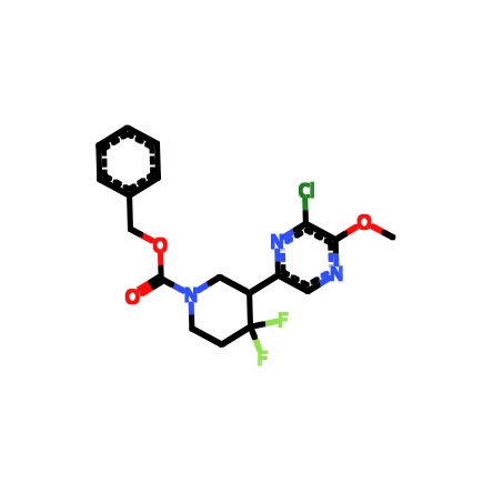 COc1ncc(C2CN(C(=O)OCc3ccccc3)CCC2(F)F)nc1Cl